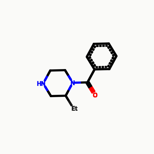 CCC1CNCCN1C(=O)c1ccccc1